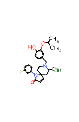 CC(C)Oc1cc(CN2CCC3(C=CC(=O)N3c3cccc(F)c3)CC2C)ccc1O.Cl